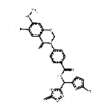 CNc1cc2c(cc1F)C(=O)N(c1ccc(C(=O)NC(c3noc(=S)[nH]3)c3ccc(Cl)s3)cc1)CO2